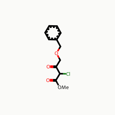 COC(=O)C(Cl)C(=O)COCc1ccccc1